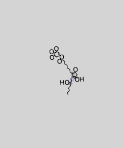 CCCCC[C@H](O)/C=C/[C@H]1[C@H](O)CC(=O)[C@@H]1CCCCCCC(=O)Oc1cc(OC)c(OC)c(OC)c1